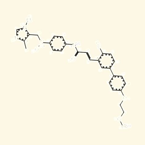 CCCCOCCOc1ccc(-c2ccc(F)c(/C=C/C(=O)Nc3ccc([S@@+]([O-])Cc4c(C)ncn4CC)cc3)c2)cc1